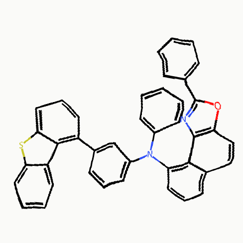 c1ccc(-c2nc3c(ccc4cccc(N(c5ccccc5)c5cccc(-c6cccc7sc8ccccc8c67)c5)c43)o2)cc1